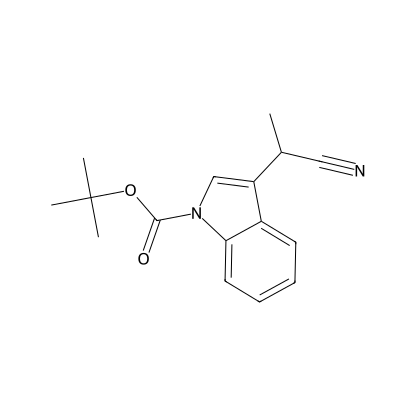 CC(C#N)c1cn(C(=O)OC(C)(C)C)c2ccccc12